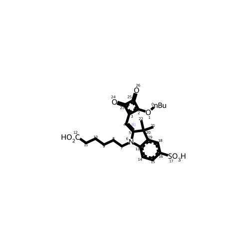 CCCCOc1c(/C=C2/N(CCCCCC(=O)O)c3ccc(S(=O)(=O)O)cc3C2(C)C)c(=O)c1=O